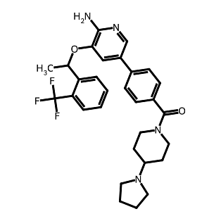 CC(Oc1cc(-c2ccc(C(=O)N3CCC(N4CCCC4)CC3)cc2)cnc1N)c1ccccc1C(F)(F)F